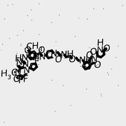 COc1cc(C(=O)NC2CCN(CC(=O)NCCOCCNc3cccc4c3C(=O)N(C3CCC(=O)NC3=O)C4=O)CC2)c(F)cc1Nc1ncc2c(n1)N(C1CCCC1)CC(F)(F)C(=O)N2C